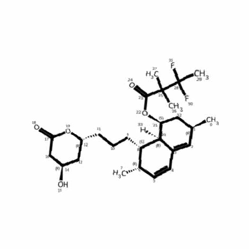 C[C@H]1C=C2C=C[C@H](C)[C@H](CCC[C@@H]3C[C@@H](O)CC(=O)O3)[C@H]2[C@@H](OC(=O)C(C)(C)C(C)(F)F)C1